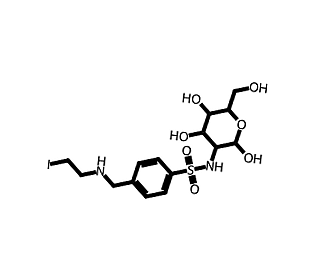 O=S(=O)(NC1C(O)OC(CO)C(O)C1O)c1ccc(CNCCI)cc1